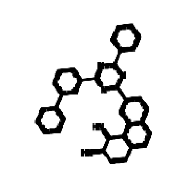 N=C1C=Cc2ccc3ccc(-c4nc(-c5ccccc5)nc(-c5cccc(-c6ccccc6)c5)n4)cc3c2C1=N